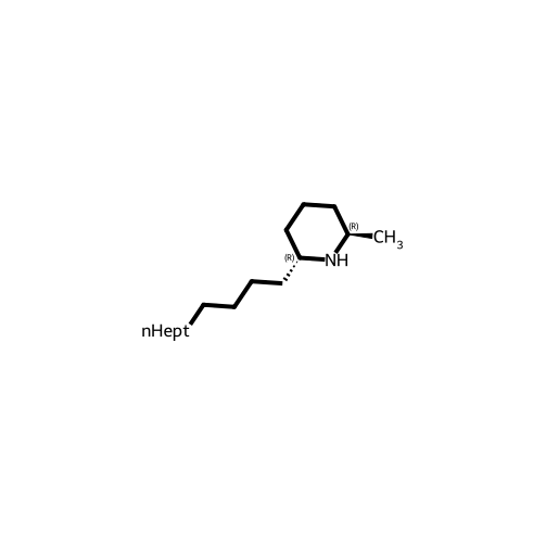 CCCCCCCCCCC[C@@H]1CCC[C@@H](C)N1